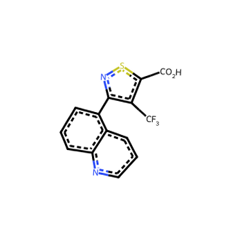 O=C(O)c1snc(-c2cccc3ncccc23)c1C(F)(F)F